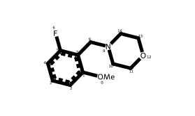 COc1cccc(F)c1CN1C[CH]OCC1